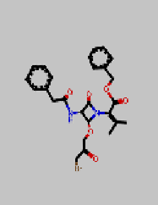 CC(C)=C(C(=O)OCc1ccccc1)N1C(=O)[C@H](NC(=O)Cc2ccccc2)[C@@H]1OCC(=O)CBr